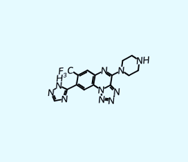 FC(F)(F)c1cc2nc(N3CCNCC3)c3nnnn3c2cc1-c1ncn[nH]1